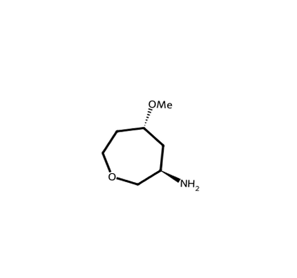 CO[C@H]1CCOC[C@H](N)C1